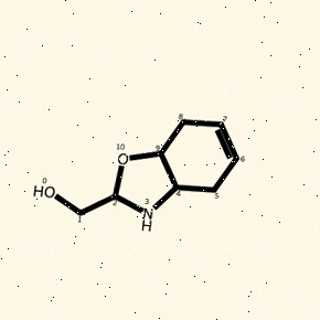 OCC1NC2CC=CCC2O1